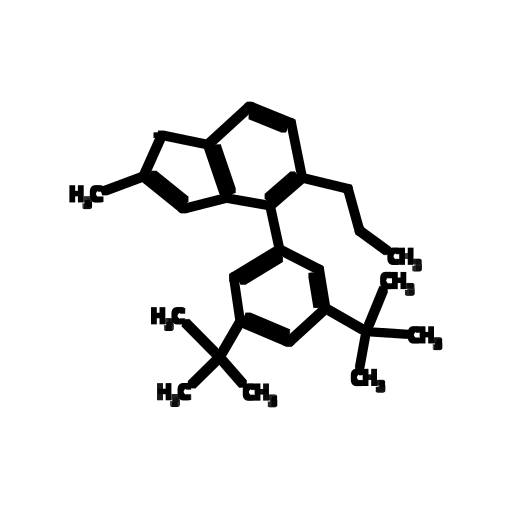 CCCc1ccc2c(c1-c1cc(C(C)(C)C)cc(C(C)(C)C)c1)C=C(C)[CH]2